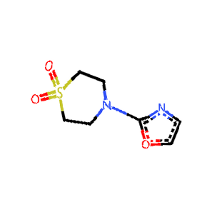 O=S1(=O)CCN(c2ncco2)CC1